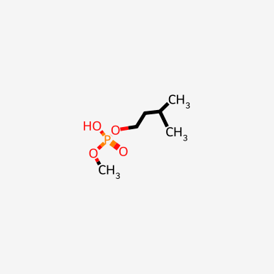 COP(=O)(O)OCCC(C)C